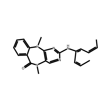 C\C=C/C=C(\C=C/C)Nc1ncc2c(n1)N(C)c1ccccc1C(=O)N2C